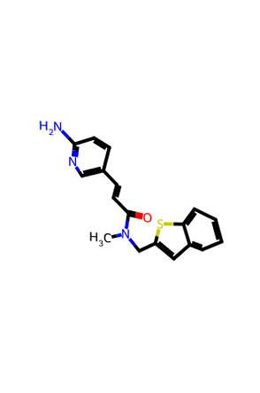 CN(Cc1cc2ccccc2s1)C(=O)C=Cc1ccc(N)nc1